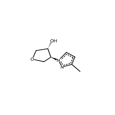 Cc1ccn([C@H]2COC[C@@H]2O)n1